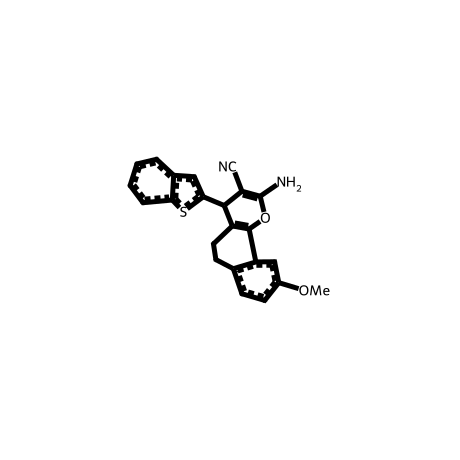 COc1ccc2c(c1)C1=C(CC2)C(c2cc3ccccc3s2)C(C#N)=C(N)O1